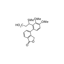 COc1ccc(-c2cccc3c2COC3=O)c(C(CC(=O)O)SC)c1OC